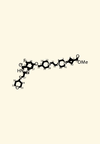 COC(=O)C12CC(N3CCN(CCN4CCC(COc5cc(F)c6c(=O)[nH]c(CSC7CCOCC7)nc6c5)CC4)CC3)(C1)C2